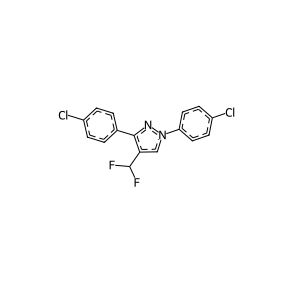 FC(F)c1cn(-c2ccc(Cl)cc2)nc1-c1ccc(Cl)cc1